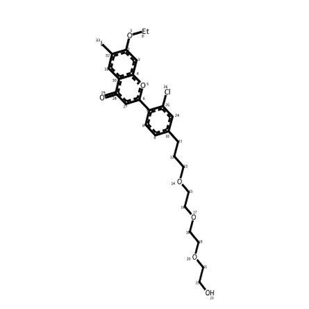 CCOc1cc2oc(-c3ccc(CCCOCCOCCOCCO)cc3Cl)cc(=O)c2cc1I